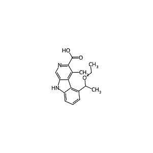 CCOC(C)c1cccc2[nH]c3cnc(C(=O)O)c(C)c3c12